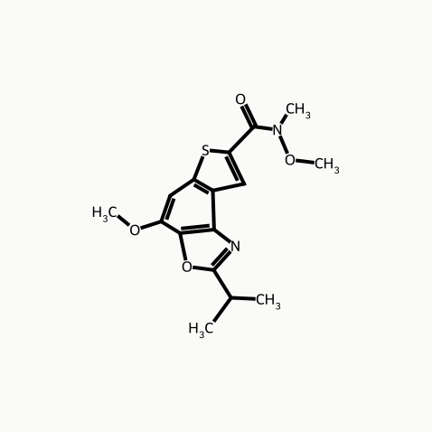 COc1cc2sc(C(=O)N(C)OC)cc2c2nc(C(C)C)oc12